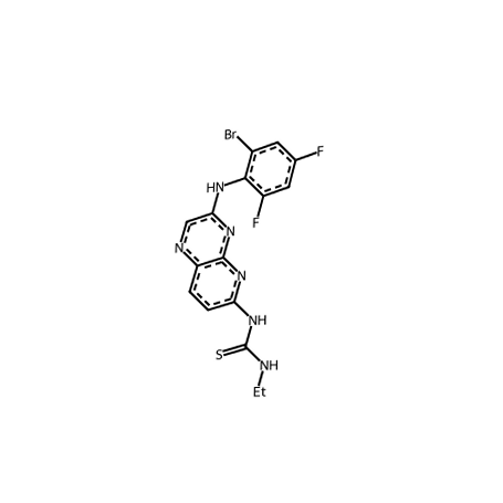 CCNC(=S)Nc1ccc2ncc(Nc3c(F)cc(F)cc3Br)nc2n1